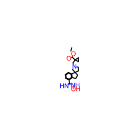 CCOC(=O)C1(CN2CCC3(CCc4c(C(=N)NO)cccc43)C2)CC1